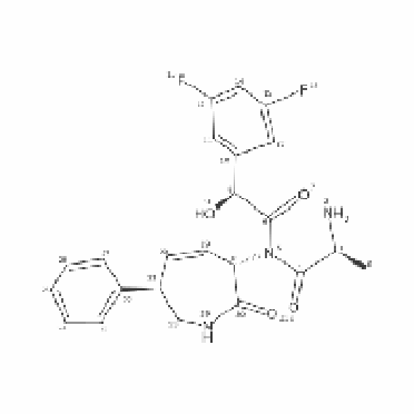 C[C@H](N)C(=O)N(C(=O)[C@@H](O)c1cc(F)cc(F)c1)[C@H]1C=C[C@H](c2ccccc2)CNC1=O